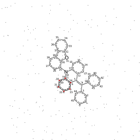 c1ccc(C(=C(c2ccccc2)c2ccccc2N(c2ccccc2)c2cccc3c2oc2ccccc23)c2ccccc2)cc1